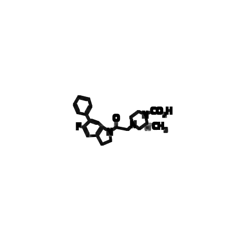 C[C@@H]1CN(CC(=O)N2CCc3cc(F)c(-c4ccccc4)cc32)CCN1C(=O)O